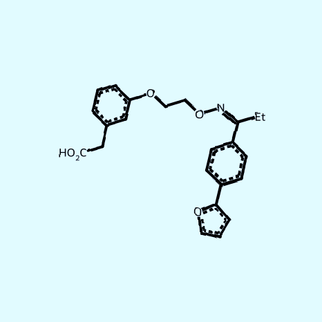 CCC(=NOCCOc1cccc(CC(=O)O)c1)c1ccc(-c2ccco2)cc1